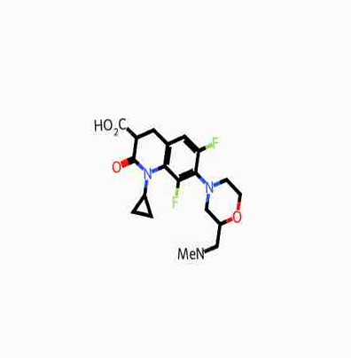 CNCC1CN(c2c(F)cc3c(c2F)N(C2CC2)C(=O)C(C(=O)O)C3)CCO1